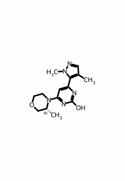 Cc1cnn(C)c1-c1cc(N2CCOC[C@H]2C)nc(O)n1